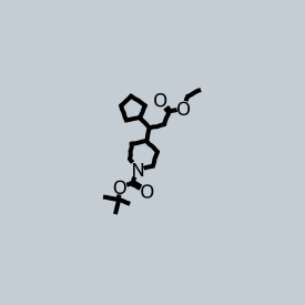 CCOC(=O)CC(C1CCCC1)C1CCN(C(=O)OC(C)(C)C)CC1